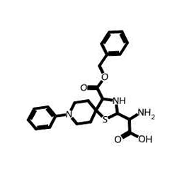 NC(C(=O)O)C1NC(C(=O)OCc2ccccc2)C2(CCN(c3ccccc3)CC2)S1